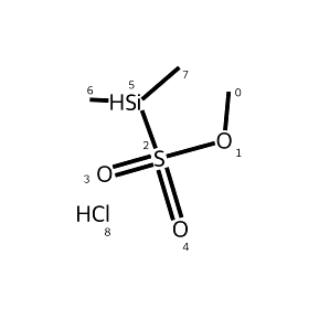 COS(=O)(=O)[SiH](C)C.Cl